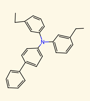 CCc1cccc(N(c2ccc(-c3ccccc3)cc2)c2cccc(CC)c2)c1